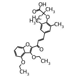 CCOc1cccc2oc(C(=O)C=Cc3cc(C)c(OC(C)(C)C(=O)O)c(C)c3)c(OCC)c12